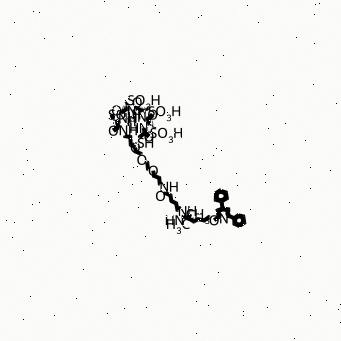 CC(C)(CCCCOc1cc(-c2ccccc2)cc(-c2ccccc2)n1)C(=N)NCCCCC(=O)NCCCOCCOCCOCCCNC(=O)[C@H](CS(=O)(=O)O)NC(=O)[C@H](CS(=O)(=O)O)NC(=O)[C@H](CS(=O)(=O)O)NC(=O)[C@H](CS(=O)(=O)O)NC(=O)CS